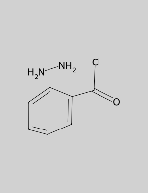 NN.O=C(Cl)c1ccccc1